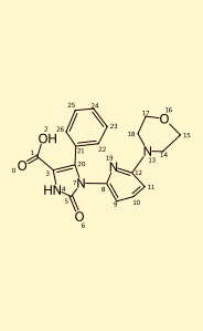 O=C(O)c1[nH]c(=O)n(-c2cccc(N3CCOCC3)n2)c1-c1ccccc1